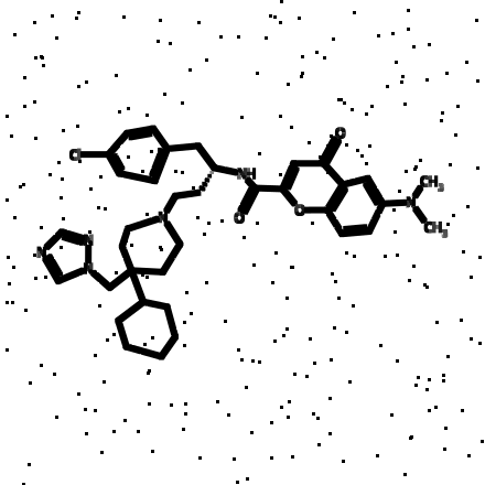 CN(C)c1ccc2oc(C(=O)N[C@H](CCN3CCC(Cn4cncn4)(C4CCCCC4)CC3)Cc3ccc(Cl)cc3)cc(=O)c2c1